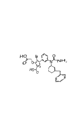 NC(=O)N(c1cccc(-c2sc(C(=O)O)c(OCC(=O)O)c2Br)c1)C1CCCC(Cc2ccccc2)C1